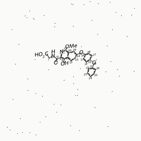 COc1nc(C(=O)NCC(=O)O)c(O)c2ccc(Oc3ccc(Oc4ccccc4)cc3)cc12